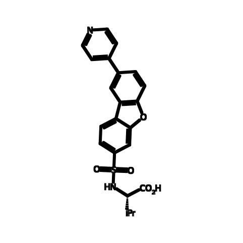 CC(C)[C@H](NS(=O)(=O)c1ccc2c(c1)oc1ccc(-c3ccncc3)cc12)C(=O)O